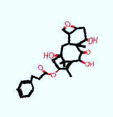 CC1=C2C(O)C(=O)C3(C)C(O)CC4OCC4C3CC(O)(C[C@@H]1OC(=O)CCc1ccccc1)C2(C)C